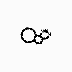 c1ccccc2c(ccc1)ccc1cnnnc12